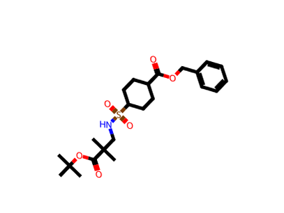 CC(C)(C)OC(=O)C(C)(C)CNS(=O)(=O)C1CCC(C(=O)OCc2ccccc2)CC1